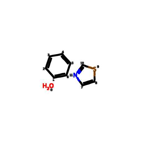 O.c1ccccc1.c1cscn1